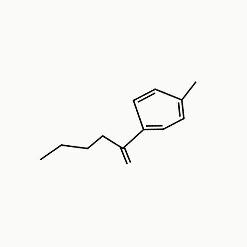 C=C(CCCC)c1ccc(C)cc1